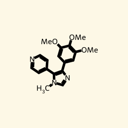 COc1cc(-c2ncn(C)c2-c2ccncc2)cc(OC)c1OC